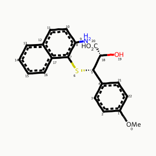 COc1ccc([C@H](Sc2c(N)ccc3ccccc23)[C@@H](O)C(=O)O)cc1